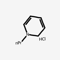 CCCN1C=CC=CC1.Cl